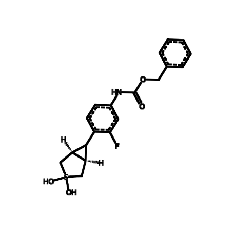 O=C(Nc1ccc(C2[C@H]3CS(O)(O)C[C@@H]23)c(F)c1)OCc1ccccc1